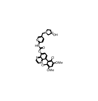 COc1cc(OC)c(Cl)c(-c2ccc(OC(=O)Nc3ccc(CN4CC[C@@H](O)C4)cn3)c3nccnc23)c1Cl